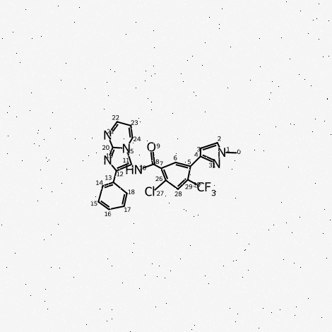 Cn1ccc(-c2cc(C(=O)Nc3c(-c4ccccc4)nc4ncccn34)c(Cl)cc2C(F)(F)F)n1